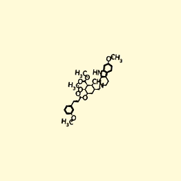 COC(=O)[C@H]1[C@@H](C)[C@@H](CN2CCc3c([nH]c4cc(OC)ccc34)C2)C[C@@H](OC(=O)/C=C/c2cccc(OC)c2)[C@@H]1OC